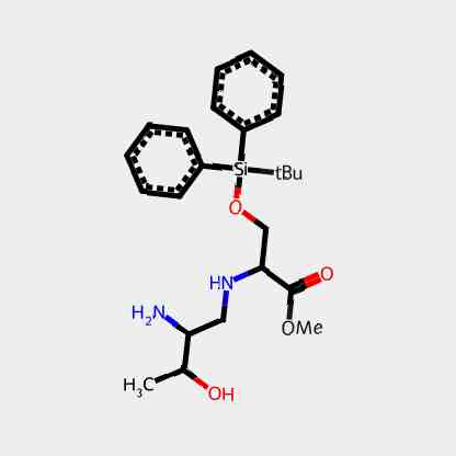 COC(=O)C(CO[Si](c1ccccc1)(c1ccccc1)C(C)(C)C)NCC(N)C(C)O